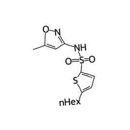 CCCCCCc1ccc(S(=O)(=O)Nc2cc(C)on2)s1